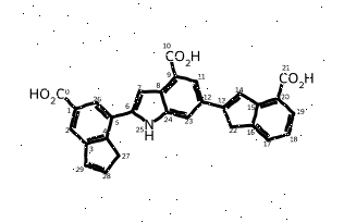 O=C(O)c1cc2c(c(-c3cc4c(C(=O)O)cc(C5=Cc6c(cccc6C(=O)O)C5)cc4[nH]3)c1)CC=C2